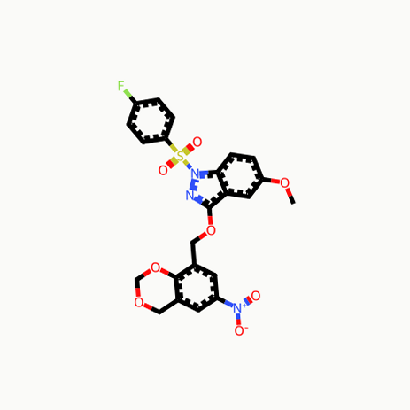 COc1ccc2c(c1)c(OCc1cc([N+](=O)[O-])cc3c1OCOC3)nn2S(=O)(=O)c1ccc(F)cc1